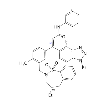 CC[C@H]1Cc2ccccc2S(=O)(=O)N(Cc2cc(/C(=C/C(=O)Nc3cccnc3)c3ccc4c(nnn4CC)c3F)ccc2C)C1